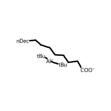 CCCCCCCCCCCCCCCCCC(=O)[O-].C[C](C)(C)[Al+][C](C)(C)C